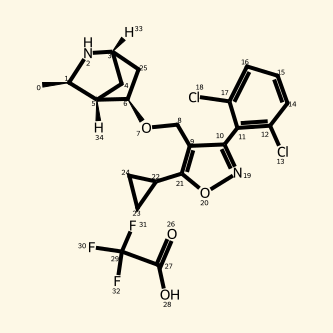 C[C@H]1N[C@H]2C[C@@H]1[C@H](OCc1c(-c3c(Cl)cccc3Cl)noc1C1CC1)C2.O=C(O)C(F)(F)F